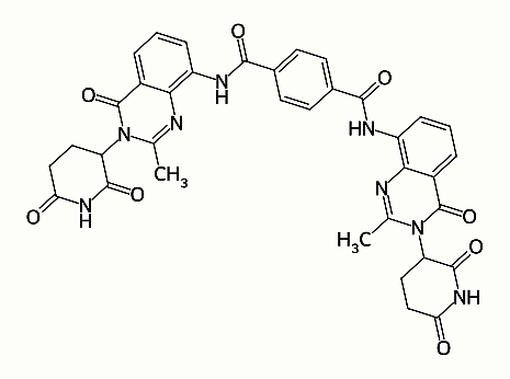 Cc1nc2c(NC(=O)c3ccc(C(=O)Nc4cccc5c(=O)n(C6CCC(=O)NC6=O)c(C)nc45)cc3)cccc2c(=O)n1C1CCC(=O)NC1=O